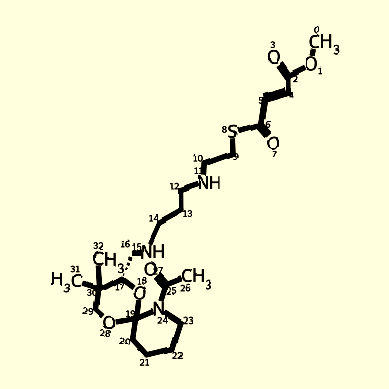 COC(=O)/C=C/C(=O)SCCNCCCNC[C@@H]1OC2(CCCCN2C(C)=O)OCC1(C)C